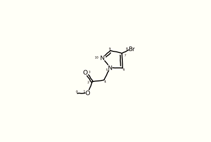 COC(=O)Cn1cc(Br)cn1